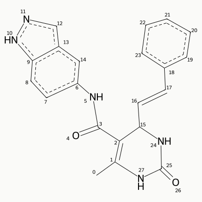 CC1=C(C(=O)Nc2ccc3[nH]ncc3c2)C(C=Cc2ccccc2)NC(=O)N1